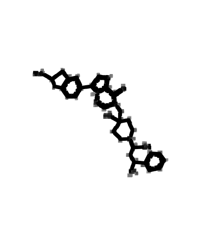 CNC1Cc2ccc(-c3cnc4c(=O)n(CC5(O)CCN(C(O)CC(c6ccccc6)C(F)(F)F)CC5)cnn34)cc2C1